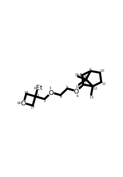 CCC1(COCCOC2CC3CCC2(C)C3(C)C)COC1